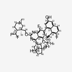 [2H]C([2H])([2H])Oc1nc(-c2cc(O)cc3ccc(F)c(C#C)c23)c(F)c2nc(OC[C@]3(C)CN(C)CC[C@@H]3C(F)F)nc(N3C[C@H]4CC[C@@H](C3)N4)c12